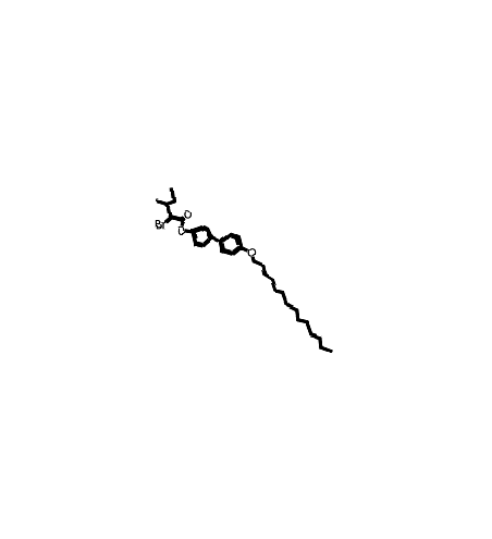 CCCCCCCCCCCCCCOc1ccc(-c2ccc(OC(=O)C(Br)C(C)CC)cc2)cc1